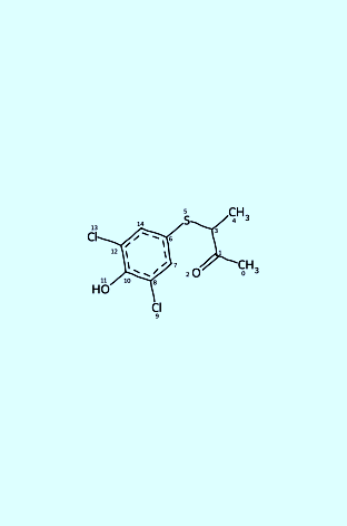 CC(=O)C(C)Sc1cc(Cl)c(O)c(Cl)c1